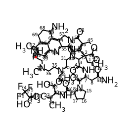 CC[C@]1(C(C(=O)N[C@@H](CC(N)=O)C(=O)N2CCC[C@H]2C(=O)N[C@H](C(=O)O)C(C)C)N(C)CCN(C)CCN(C)CCN)C(=O)OCc2c1cc1n(c2=O)Cc2c-1nc1cc(F)c(C)c3c1c2[C@@H](N)CC3.O=C(O)C(F)(F)F